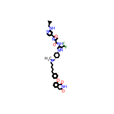 CN(CCCCCc1ccc(Oc2cccc3c2C(=O)NC(=O)C3)cc1)C[C@H]1CC[C@H](n2cc(NC(=O)c3coc(-c4ccnc(NCC5CC5)c4)n3)c(C(F)F)n2)CC1